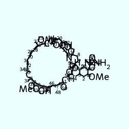 COC1CC(C[C@H]2C3CCCN4C(=O)C(=O)C5(O)O[C@@H](CCC5C)C[C@H](OC)/C(C)=C/C=C/C=C/[C@@H](C)CC(C)C(=O)[C@H](OC)C(O)/C(C)=C/[C@@H](C)C(=O)C[C@@H]2OC(=O)C34)CC[C@H]1OP(N)(N)=O